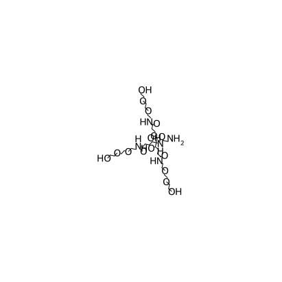 NCC(=O)NC(COCCC(=O)NCCOCCOCCO)(C(O)CCC(=O)NCCOCCOCCO)C(O)CCC(=O)NCCOCCOCCO